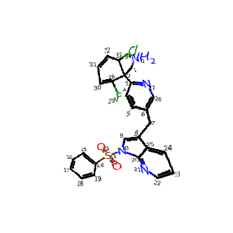 NCC1(c2ccc(Cc3cn(S(=O)(=O)c4ccccc4)c4ncccc34)cn2)C(F)=CC=CC1Cl